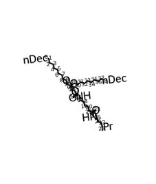 CCCCCCCCCCCCCCCCCCOC[C@H](COC(=O)NCCCCCC(=O)NCCCC(C)C)OCCCCCCCCCCCCCCCCCC